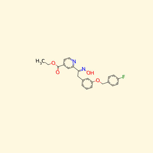 CCOC(=O)c1ccnc(/C(Cc2cccc(OCc3ccc(F)cc3)c2)=N/O)c1